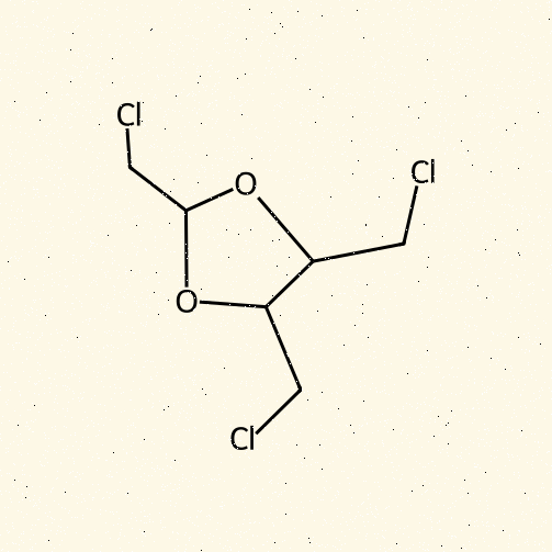 ClCC1OC(CCl)C(CCl)O1